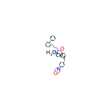 CN(C)C(CCCc1ccccc1-c1ccccc1)C(=O)c1ccc(Cc2ccc(N3CCOCC3)cc2)cc1